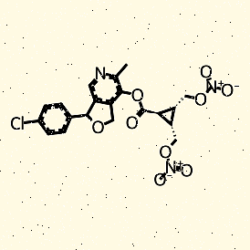 Cc1ncc2c(c1OC(=O)[C@H]1[C@H](CO[N+](=O)[O-])[C@@H]1CO[N+](=O)[O-])COC2c1ccc(Cl)cc1